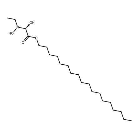 CCCCCCCCCCCCCCCCCCOC(=O)[C@H](O)N(O)CC